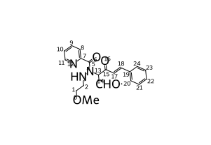 COCCNN(C(=O)c1ccccn1)C([C]=O)C(=O)C=Cc1ccccc1